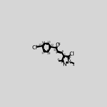 Cc1nn(C)c(Cl)c1/C=C/C(=O)c1ccc(Cl)cc1